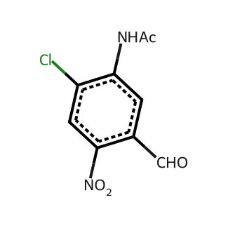 CC(=O)Nc1cc(C=O)c([N+](=O)[O-])cc1Cl